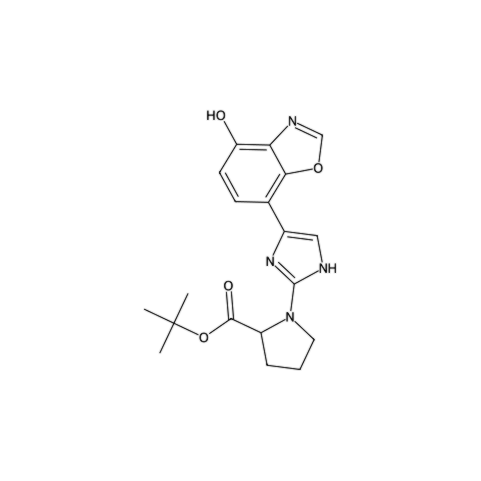 CC(C)(C)OC(=O)C1CCCN1c1nc(-c2ccc(O)c3ncoc23)c[nH]1